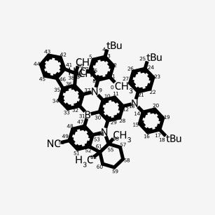 Cc1cc(C(C)(C)C)cc(C)c1N1c2cc(N(c3ccc(C(C)(C)C)cc3)c3ccc(C(C)(C)C)cc3)cc3c2B(c2ccc4c(c21)C(C)(C)c1ccccc1-4)c1cc(C#N)cc2c1N3C1(C)CCCCC21C